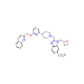 O=C(O)c1ccc2nc(CN3CCC(c4cccc(OCc5ccc6ccccc6n5)n4)CC3)n(C[C@@H]3CCO3)c2c1